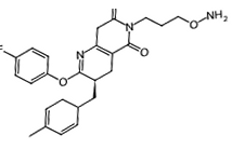 CC1=CCC(C[C@@H]2CC3=C(CC(=O)N(CCCON)C3=O)N=C2Oc2ccc(F)cc2)C=C1